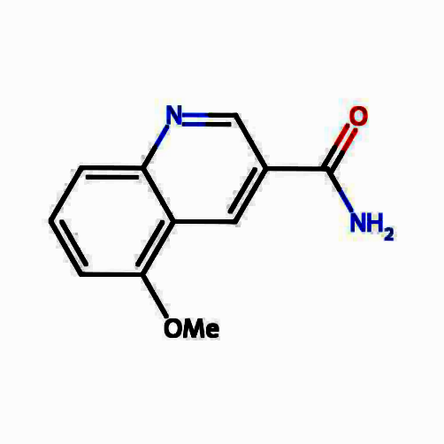 COc1cccc2ncc(C(N)=O)cc12